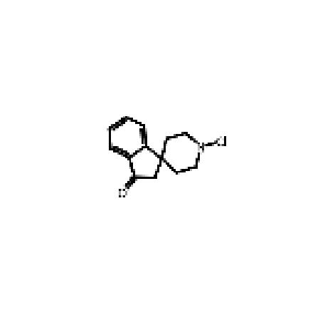 O=C1CC2(CCN(Cl)CC2)c2ccccc21